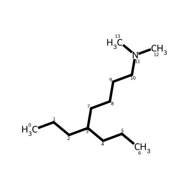 CCCC(CCC)CCCCN(C)C